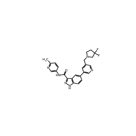 Cc1ccc(NC(=O)c2n[nH]c3ccc(-c4cncc(CN5CCC(F)(F)C5)c4)cc23)cn1